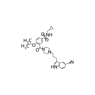 CC(C)Oc1ccc(S(=O)(=O)NCC2CC2)cc1C(=O)N1CCN(CCCc2c[nH]c3ccc(C#N)cc23)CC1